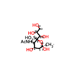 [CH2][C@]1(O)C[C@H](O)[C@@H](NC(C)=O)[C@@]([C@H](O)[C@H](O)CO)(S(=O)(=O)O)O1